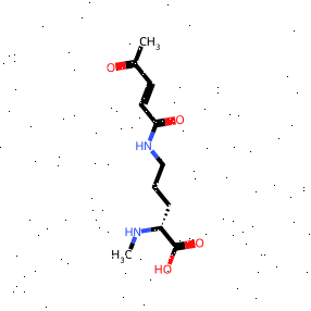 CN[C@H](CCCNC(=O)/C=C/C(C)=O)C(=O)O